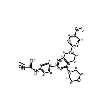 CCNC(=O)Nc1ccc(-c2nc3c(c(N4CCOCC4)n2)CCN(c2ncc(N)cn2)C3)cc1